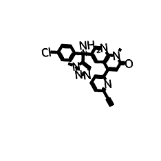 C#Cc1cccc(-c2cc(=O)n(C)c3ncc([C@](N)(c4ccc(Cl)cc4)c4cnnn4C)cc23)n1